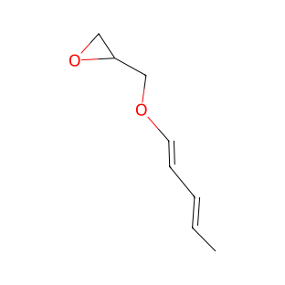 CC=CC=COCC1CO1